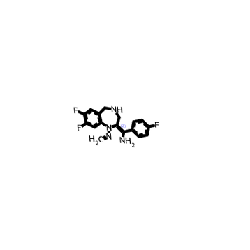 C=NN1/C(=C(\N)c2ccc(F)cc2)CNCc2cc(F)c(F)cc21